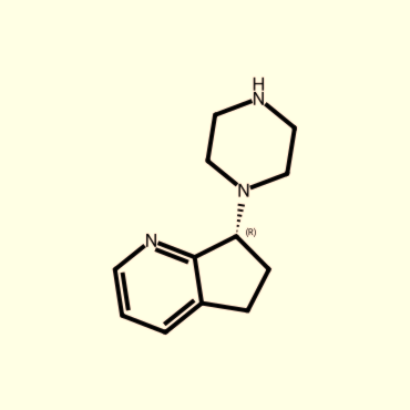 c1cnc2c(c1)CC[C@H]2N1CCNCC1